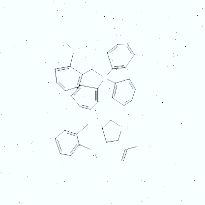 COc1ccccc1C[C@@H]1CN[C@H](C(=O)O)C1.COc1ccccc1C[P+](c1ccccc1)(c1ccccc1)c1ccccc1.[Cl-]